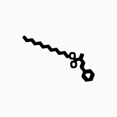 C=C(C=Cc1ccccc1)C(=O)OCCCCCCCCCCCC